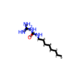 CCCCCCCCNC(=O)NC(=N)N